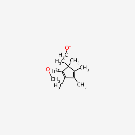 CC1=C(C)C(C)(C)[C]([Ti+2])=C1C.C[O-].C[O-]